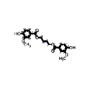 COc1cc(C(=O)OC/C=C/COC(=O)c2ccc(O)c(OC)c2)ccc1O